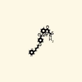 NC(=S)c1cc(=O)c2cccc(NC(=O)c3ccc(OCCCCc4ccccc4)cc3)c2o1